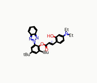 CCC(C)c1cc(C(C)(C)C)cc(-n2nc3ccccc3n2)c1OC(=O)/C=C/c1ccc(N(CC)CC)cc1O